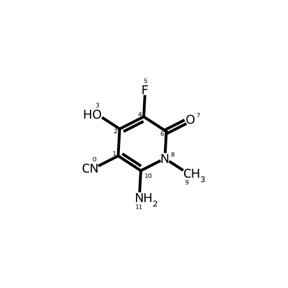 [C-]#[N+]c1c(O)c(F)c(=O)n(C)c1N